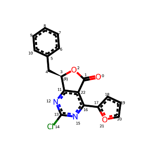 O=C1O[C@H](Cc2ccccc2)c2nc(Cl)nc(-c3ccco3)c21